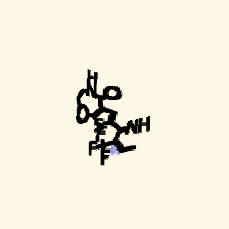 C/C=C(\C(=N)c1cc2c(s1)OCCNC2=O)C(F)(F)F